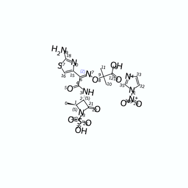 C[C@H]1[C@H](NC(=O)/C(=N\OC(C)(C)C(=O)O)c2csc(N)n2)C(=O)N1S(=O)(=O)O.O=[N+]([O-])n1ccnc1